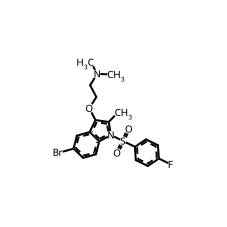 Cc1c(OCCN(C)C)c2cc(Br)ccc2n1S(=O)(=O)c1ccc(F)cc1